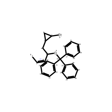 CCC1CC1CC(/C=C\I)OC(c1ccccc1)(c1ccccc1)c1ccccc1